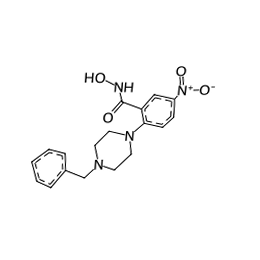 O=C(NO)c1cc([N+](=O)[O-])ccc1N1CCN(Cc2ccccc2)CC1